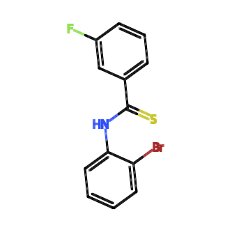 Fc1cccc(C(=S)Nc2ccccc2Br)c1